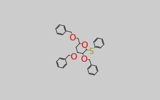 c1ccc(COCC2CC(OCc3ccccc3)C(OCc3ccccc3)[C@H](Sc3ccccc3)O2)cc1